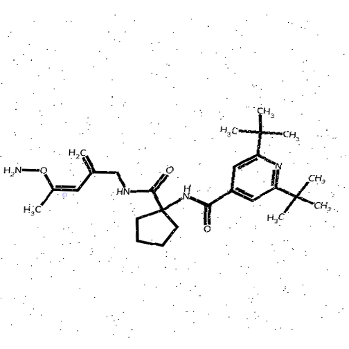 C=C(/C=C(/C)ON)CNC(=O)C1(NC(=O)c2cc(C(C)(C)C)nc(C(C)(C)C)c2)CCCC1